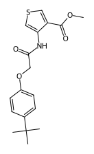 COC(=O)c1cscc1NC(=O)COc1ccc(C(C)(C)C)cc1